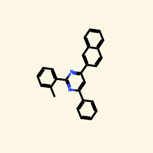 Cc1ccccc1-c1nc(-c2ccccc2)cc(-c2ccc3ccccc3c2)n1